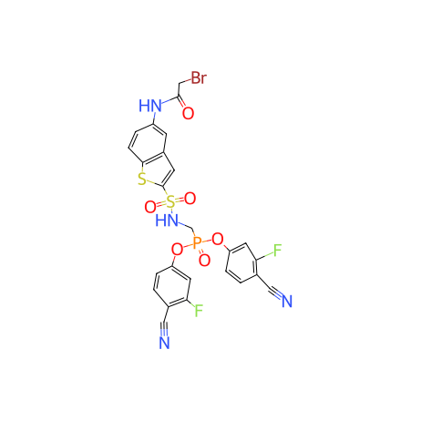 N#Cc1ccc(OP(=O)(CNS(=O)(=O)c2cc3cc(NC(=O)CBr)ccc3s2)Oc2ccc(C#N)c(F)c2)cc1F